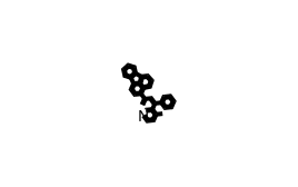 C=C(/C=C(/c1ccccc1)c1cnccc1C)c1ccc2c3c(cccc13)-c1ccccc1-2